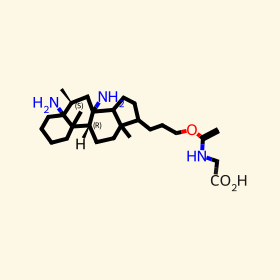 C=C(NCC(=O)O)OCCCC1CCC2C1(C)CC[C@H]1C2(N)C[C@H](C)C2(N)CCCCC12C